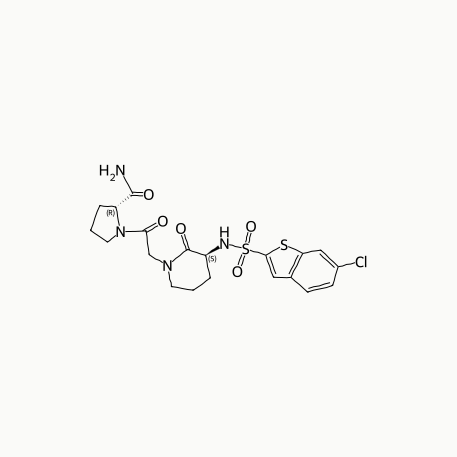 NC(=O)[C@H]1CCCN1C(=O)CN1CCC[C@H](NS(=O)(=O)c2cc3ccc(Cl)cc3s2)C1=O